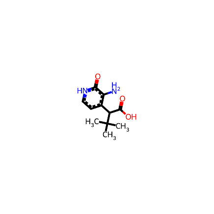 CC(C)(C)C(C(=O)O)c1cc[nH]c(=O)c1N